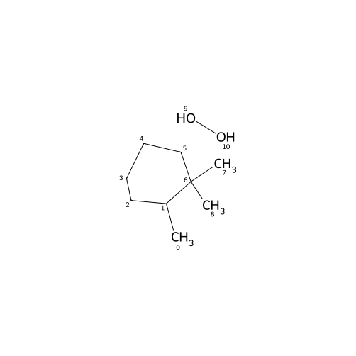 CC1CCCCC1(C)C.OO